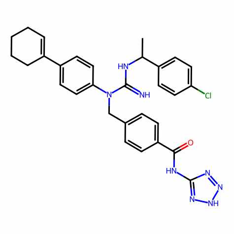 CC(NC(=N)N(Cc1ccc(C(=O)Nc2nn[nH]n2)cc1)c1ccc(C2=CCCCC2)cc1)c1ccc(Cl)cc1